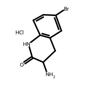 Cl.NC1Cc2cc(Br)ccc2NC1=O